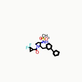 CS(=O)(=O)NC1CCN(C(=O)C2CC2(F)F)C1Cc1cccc(-c2ccccc2)c1